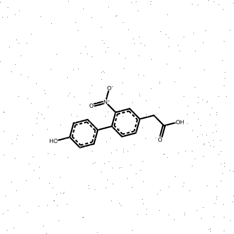 O=C(O)Cc1ccc(-c2ccc(O)cc2)c([N+](=O)[O-])c1